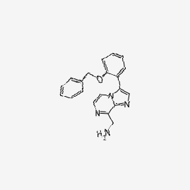 NCc1nccn2c(-c3ccccc3OCc3ccccc3)cnc12